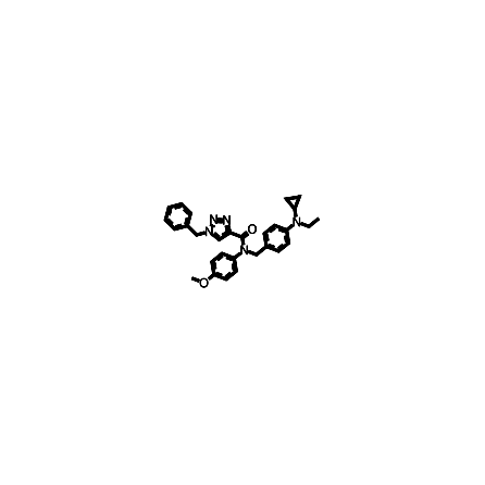 CCN(c1ccc(CN(C(=O)c2cn(Cc3ccccc3)nn2)c2ccc(OC)cc2)cc1)C1CC1